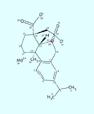 CC(C)c1ccc2c(c1)CC[C@H]1[C@@](CS(=O)(=O)[O-])(C(=O)[O-])CCC[C@]21C.[Mg+2]